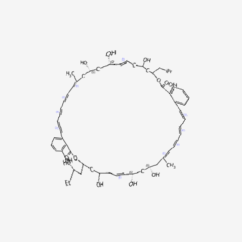 CCC(O)CC1CC(O)C/C=C/[C@@H](O)C[C@@H](O)C/C(C)=C/C=C/C=C/C=C\c2cccc(O)c2C(=O)OC(CC(C)C)CC(O)C/C=C/[C@@H](O)C[C@@H](O)C/C(C)=C/C=C/C=C/C=C\c2cccc(O)c2C(=O)O1